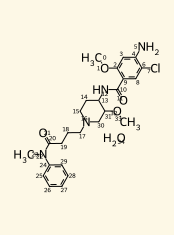 COc1cc(N)c(Cl)cc1C(=O)NC1CCN(CCCC(=O)N(C)c2ccccc2)CC1OC.O